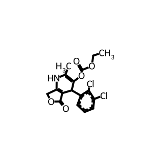 CCOC(=O)OC1=C(C)NC2=C(C(=O)OC2)C1c1cccc(Cl)c1Cl